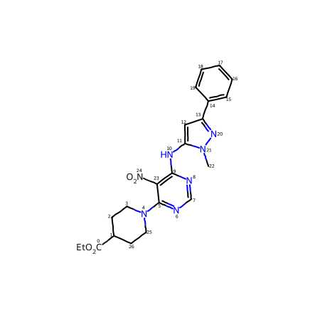 CCOC(=O)C1CCN(c2ncnc(Nc3cc(-c4ccccc4)nn3C)c2[N+](=O)[O-])CC1